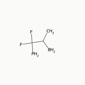 BC(C)C(F)(F)P